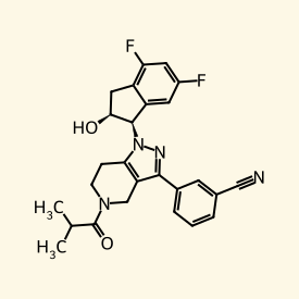 CC(C)C(=O)N1CCc2c(c(-c3cccc(C#N)c3)nn2[C@@H]2c3cc(F)cc(F)c3C[C@@H]2O)C1